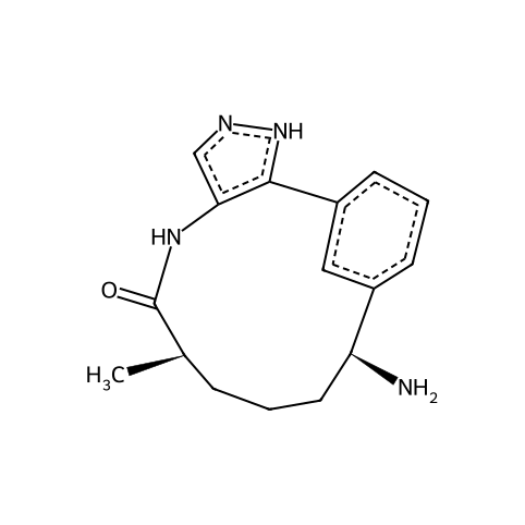 C[C@@H]1CCC[C@H](N)c2cccc(c2)-c2[nH]ncc2NC1=O